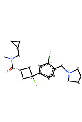 CN(CC1CC1)C(=O)[C@H]1C[C@@](F)(c2ccc(CN3CCCC3)c(Cl)c2)C1